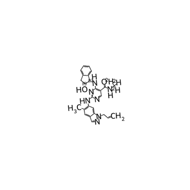 [2H]C([2H])([2H])NC(=O)c1cnc(Nc2cc3c(cnn3CC=C)cc2C)nc1N[C@H]1c2ccccc2C[C@H]1O